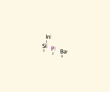 [Ba].[In].[P].[Si]